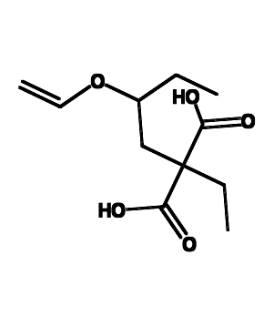 C=COC(CC)CC(CC)(C(=O)O)C(=O)O